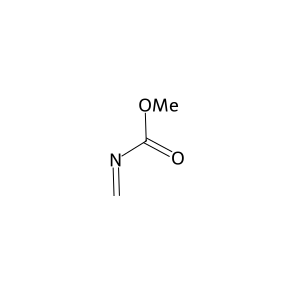 C=NC(=O)OC